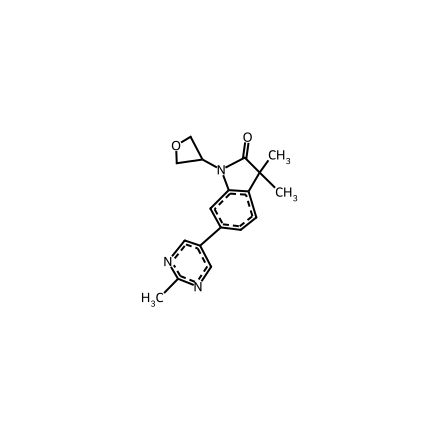 Cc1ncc(-c2ccc3c(c2)N(C2COC2)C(=O)C3(C)C)cn1